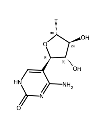 [CH2][C@H]1O[C@H](c2c[nH]c(=O)nc2N)[C@@H](O)[C@@H]1O